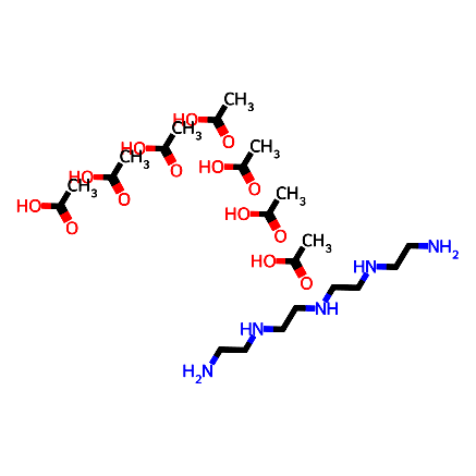 CC(=O)O.CC(=O)O.CC(=O)O.CC(=O)O.CC(=O)O.CC(=O)O.CC(=O)O.NCCNCCNCCNCCN